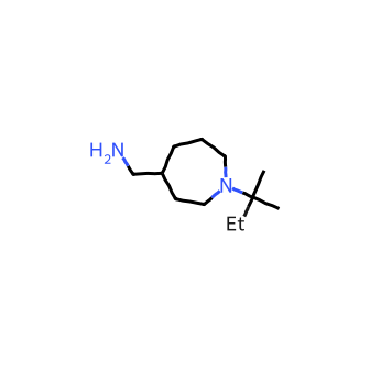 CCC(C)(C)N1CCCC(CN)CC1